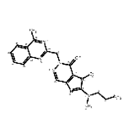 CCn1c(N(C)CCN)nc2cnn(Cc3nc(C)c4ccccc4n3)c(=O)c21